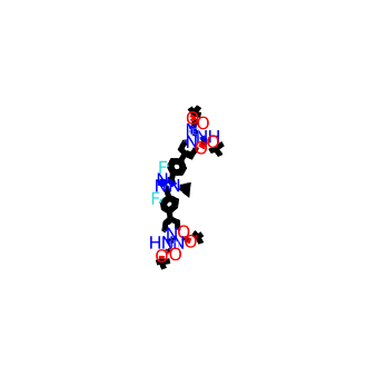 CC(C)(C)OC(=O)/N=C(/NC(=O)OC(C)(C)C)N1CC=C(c2ccc(-c3nnc(-c4ccc(C5=CCN(/C(=N/C(=O)OC(C)(C)C)NC(=O)OC(C)(C)C)CC5)cc4F)n3C3CC3)c(F)c2)CC1